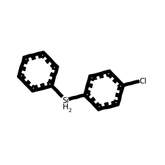 Clc1ccc([SiH2]c2ccccc2)cc1